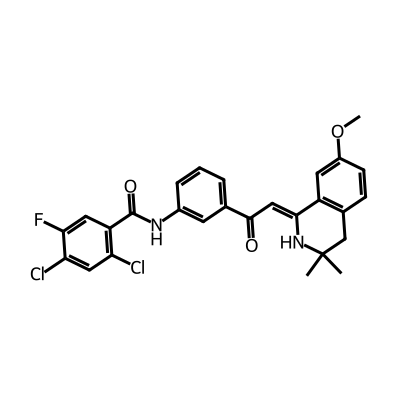 COc1ccc2c(c1)C(=CC(=O)c1cccc(NC(=O)c3cc(F)c(Cl)cc3Cl)c1)NC(C)(C)C2